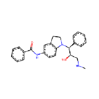 CNC[C@@H](O)[C@H](c1ccccc1)N1CCc2cc(NC(=O)c3ccccc3)ccc21